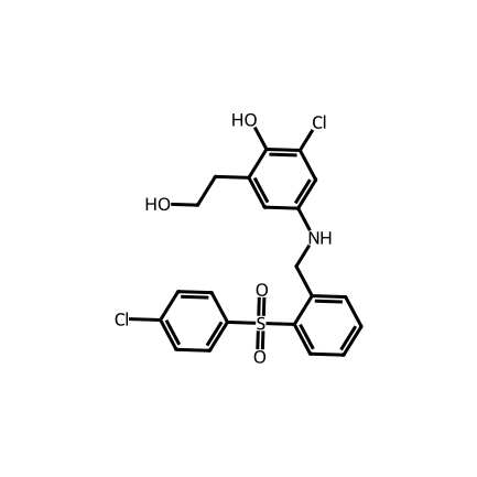 O=S(=O)(c1ccc(Cl)cc1)c1ccccc1CNc1cc(Cl)c(O)c(CCO)c1